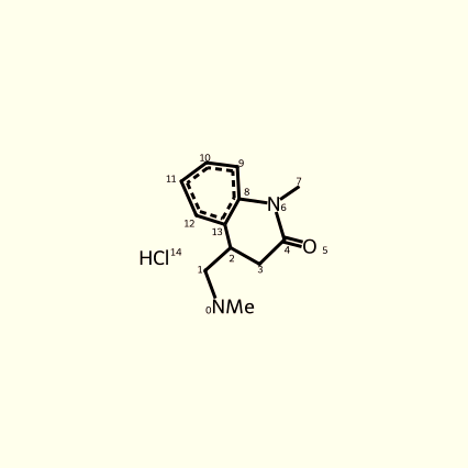 CNCC1CC(=O)N(C)c2ccccc21.Cl